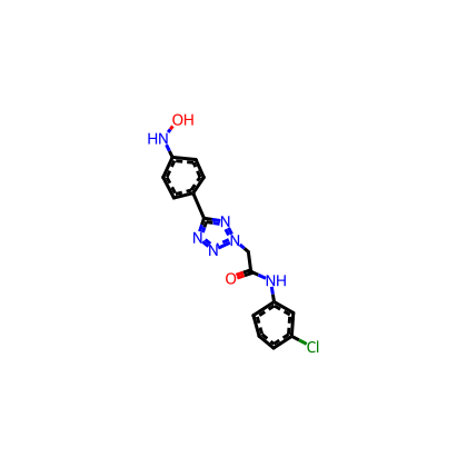 O=C(Cn1nnc(-c2ccc(NO)cc2)n1)Nc1cccc(Cl)c1